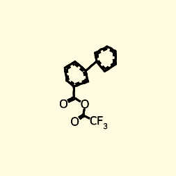 O=C(OC(=O)C(F)(F)F)c1cccc(-c2ccccc2)c1